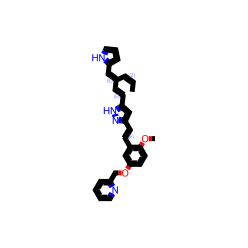 C\C=C/C(/C=C/c1cc(/C=C/c2cc(OCc3ccccn3)ccc2OC)n[nH]1)=C\c1ccc[nH]1